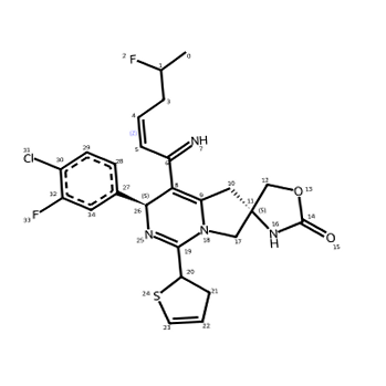 CC(F)C/C=C\C(=N)C1=C2C[C@@]3(COC(=O)N3)CN2C(C2CC=CS2)=N[C@H]1c1ccc(Cl)c(F)c1